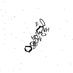 O=c1[nH]c(=O)n([C@H]2C[C@@H]3OP(=O)(Oc4ccccc4)OC[C@H]3O2)cc1F